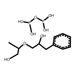 CC(CO)OCC(O)Cc1ccccc1.OP(O)OP(O)O